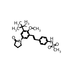 COc1c(C=Cc2ccc(NS(C)(=O)=O)cc2)cc(N2CCCC2=O)cc1C(C)(C)C